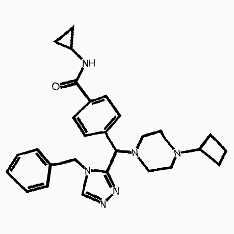 O=C(NC1CC1)c1ccc(C(c2nncn2Cc2ccccc2)N2CCN(C3CCC3)CC2)cc1